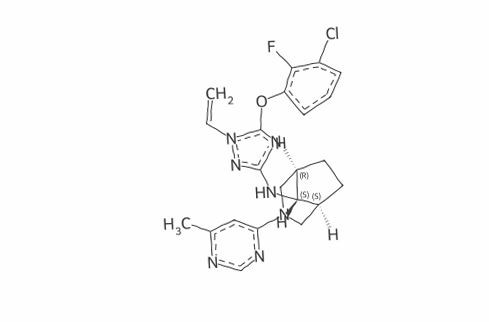 C=Cn1nc(N[C@@H]2[C@@H]3CC[C@H]2CN(c2cc(C)ncn2)C3)nc1Oc1cccc(Cl)c1F